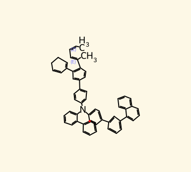 C/C=C\C=C(/C)c1ccc(-c2ccc(N(c3ccc(-c4cccc(-c5cccc6ccccc56)c4)cc3)c3ccccc3-c3ccccc3)cc2)cc1C1=CCCC=C1